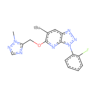 Cn1ncnc1COc1nc2c(cc1C(C)(C)C)nnn2-c1ccccc1F